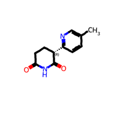 Cc1ccc([C@H]2CCC(=O)NC2=O)nc1